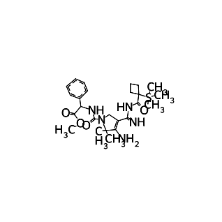 COC(=O)C(NC(=O)N1CC(C(=N)NC(=O)C2(S(C)(C)C)CCC2)=C(N)C1(C)C)c1ccccc1